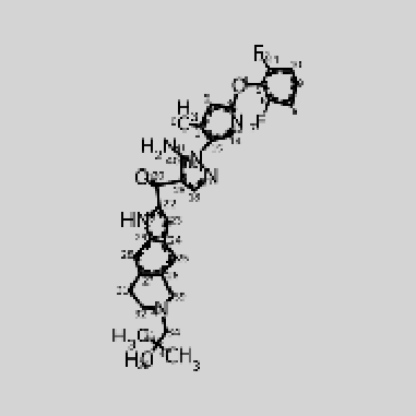 Cc1cc(Oc2c(F)cccc2F)ncc1-n1ncc(C(=O)c2cc3cc4c(cc3[nH]2)CCN(CC(C)(C)O)C4)c1N